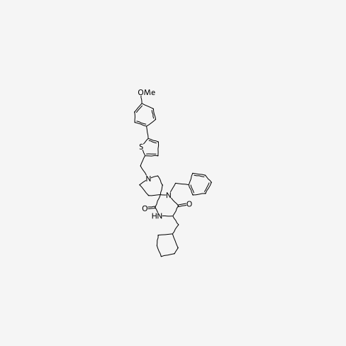 COc1ccc(-c2ccc(CN3CCC4(CC3)C(=O)NC(CC3CCCCC3)C(=O)N4Cc3ccccc3)s2)cc1